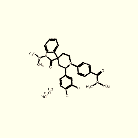 CCCCN(C)C(=O)c1ccc(N2CCC(C(=O)NN(C)C)(c3ccccc3)CC2c2ccc(Cl)c(Cl)c2)cc1.Cl.O.O